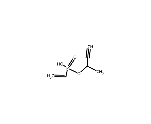 C#CC(C)OP(=O)(O)C=C